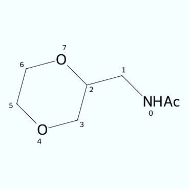 CC(=O)NCC1COCCO1